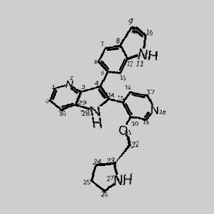 c1cnc2c(-c3ccc4cc[nH]c4c3)c(-c3ccncc3OC[C@@H]3CCCN3)[nH]c2c1